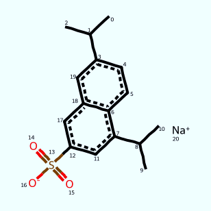 CC(C)c1ccc2c(C(C)C)cc(S(=O)(=O)[O-])cc2c1.[Na+]